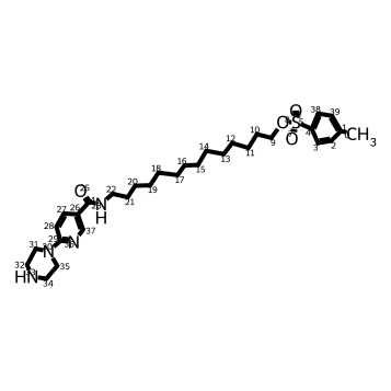 Cc1ccc(S(=O)(=O)OCCCCCCCCCCCCCCNC(=O)c2ccc(N3CCNCC3)nc2)cc1